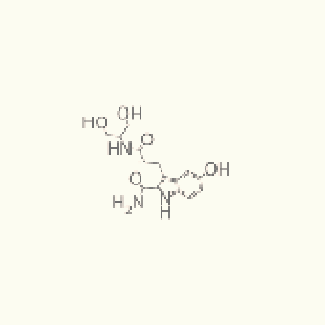 NC(=O)c1[nH]c2ccc(O)cc2c1C[CH]C(=O)NC(CO)CO